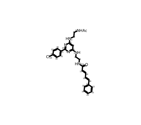 CC(=O)NCCNc1cc(NCCNC(=O)C=CC=Cc2ccccc2)nc(-c2ccc(Cl)cc2)n1